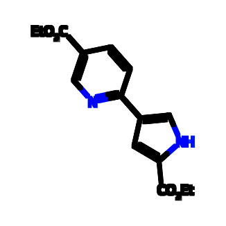 CCOC(=O)c1ccc(-c2c[nH]c(C(=O)OCC)c2)nc1